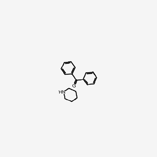 C1CCNCC1.O=C(c1ccccc1)c1ccccc1